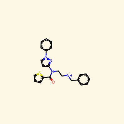 O=C(c1cccs1)N(CCNCc1ccccc1)c1ccn(-c2ccccc2)n1